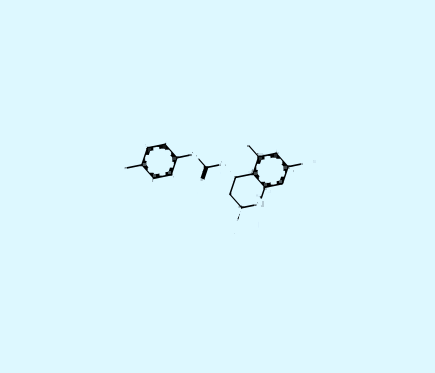 O=C(Nc1ccc(I)cc1)N[C@H]1C[C@H](C(=O)O)Nc2cc(Cl)cc(Cl)c21